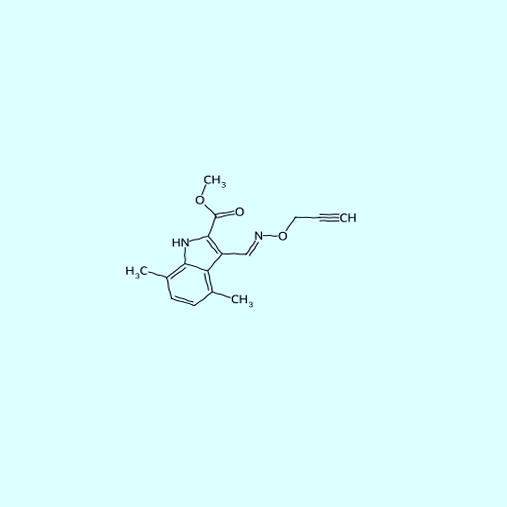 C#CCON=Cc1c(C(=O)OC)[nH]c2c(C)ccc(C)c12